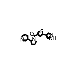 O=C(c1csc(-c2cn[nH]c2)c1)N1CCCC1c1cccnc1